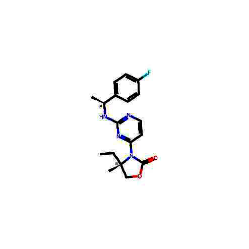 CC[C@@]1(C)COC(=O)N1c1ccnc(N[C@@H](C)c2ccc(F)cc2)n1